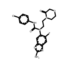 Nc1nc2cc(F)c(N(CCN3CCOCC3=O)C(=O)Nc3ccc(Cl)cc3)cc2s1